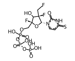 O=c1[nH]c(=S)ccn1[C@@H]1O[C@](F)(COP(=O)(O)OP(=O)(O)OP(=O)(O)O)C(O)[C@]1(F)CF